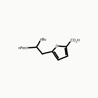 CCCCCC(CCCC)Cc1ccc(C(=O)O)o1